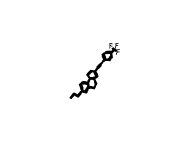 CCCc1ccc2c(c1)CCc1cc(C#Cc3ccc(C(F)(F)F)cc3)ccc1-2